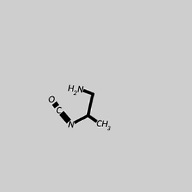 CC(CN)N=C=O